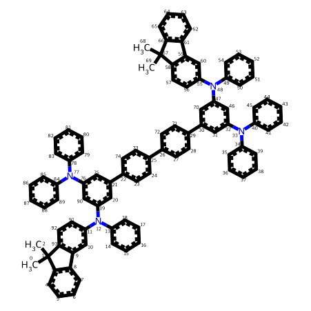 CC1(C)c2ccccc2-c2cc(N(c3ccccc3)c3cc(-c4ccc(-c5ccc(-c6cc(N(c7ccccc7)c7ccccc7)cc(N(c7ccccc7)c7ccc8c(c7)-c7ccccc7C8(C)C)c6)cc5)cc4)cc(N(c4ccccc4)c4ccccc4)c3)ccc21